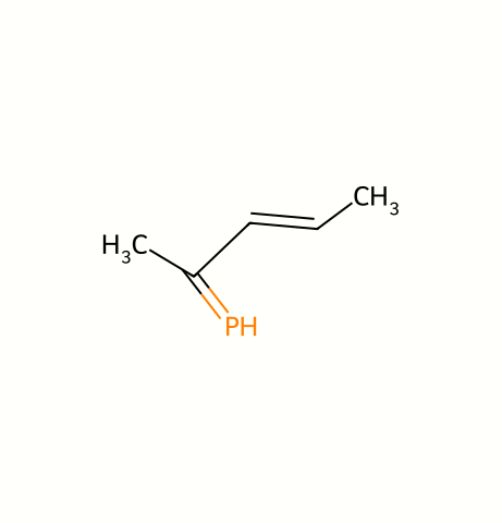 C/C=C/C(C)=P